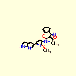 COc1nc(-c2cnc3[nH]ccc3c2)ccc1NC(=O)c1c(-c2ccccc2)noc1C